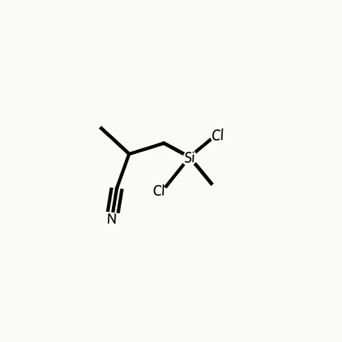 CC(C#N)C[Si](C)(Cl)Cl